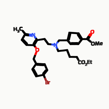 CCOC(=O)CCCCN(CCc1nc(C)ccc1OCc1ccc(Br)cc1)Cc1ccc(C(=O)OC)cc1